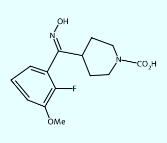 COc1cccc(C(=NO)C2CCN(C(=O)O)CC2)c1F